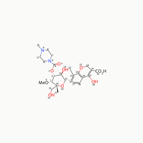 CO[C@@H]1[C@H](OC(=O)N2CCN(C)CC2)[C@@H](O)[C@H](c2ccc3c(c2C)OCC(C(=O)O)=C3O)O[C@]1(C)CO